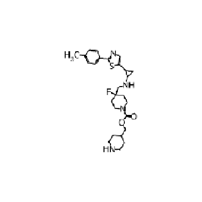 Cc1ccc(-c2ncc(C3CC3NCC3(F)CCN(C(=O)OCC4CCNCC4)CC3)s2)cc1